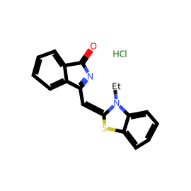 CCN1C(=CC2=NC(=O)c3ccccc32)Sc2ccccc21.Cl